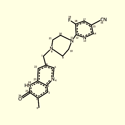 Cc1cc2ncc(CN3CCN(c4ncc(C#N)cc4F)CC3)cc2[nH]c1=O